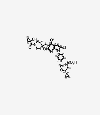 CC1(C(=O)N2CCC(O)(Cn3cnc4c(cc(Cl)n4-c4ccc([C@H]5CO[C@H](C6CC6)CN5C(=O)O)cc4)c3=O)CC2)CC1